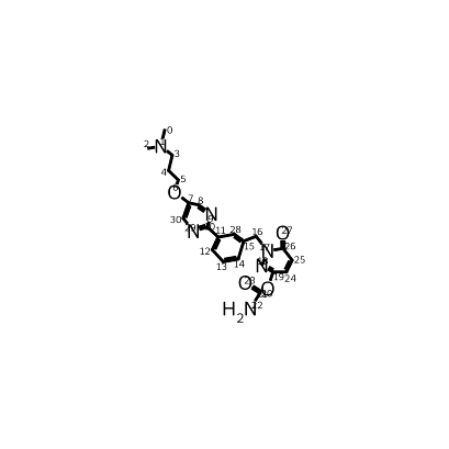 CN(C)CCCOc1cnc(-c2cccc(Cn3nc(OC(N)=O)ccc3=O)c2)nc1